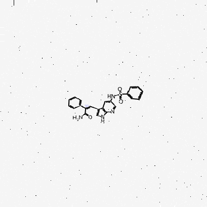 NC(=O)/C(=C\c1c[nH]c2ncc(NS(=O)(=O)c3ccccc3)cc12)c1ccccc1